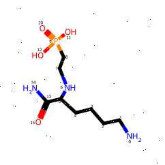 NCCCCC(NCCP(=O)(O)O)C(N)=O